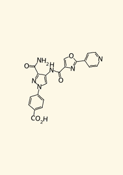 NC(=O)c1nn(-c2ccc(C(=O)O)cc2)cc1NC(=O)c1coc(-c2ccncc2)n1